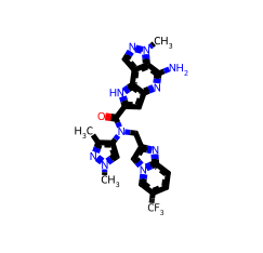 Cc1nn(C)cc1N(Cc1cn2cc(C(F)(F)F)ccc2n1)C(=O)c1cc2nc(N)c3c(cnn3C)c2[nH]1